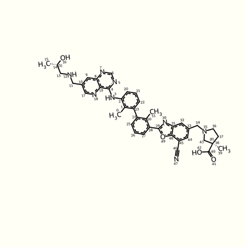 Cc1c(Nc2ncnc3cc(CNC[C@H](C)O)cnc23)cccc1-c1cccc(-c2nc3cc(CN4CC[C@@](C)(C(=O)O)C4)cc(C#N)c3o2)c1C